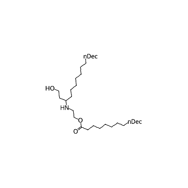 CCCCCCCCCCCCCCCCCC(=O)OCCNC(CCO)CCCCCCCCCCCCCCCCC